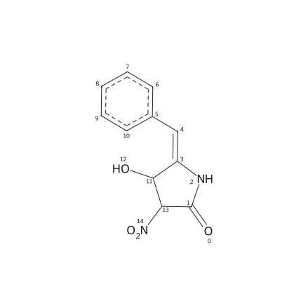 O=C1NC(=Cc2ccccc2)C(O)C1[N+](=O)[O-]